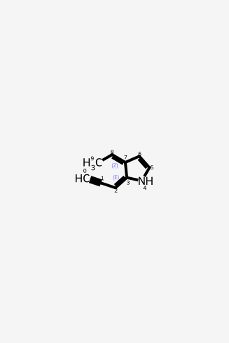 C#C/C=c1/[nH]cc/c1=C/C